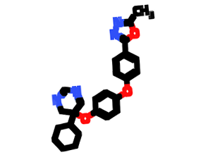 Cc1nnc(-c2ccc(Oc3ccc(OC4(C5CCCCC5)C=NC=NC4)cc3)cc2)o1